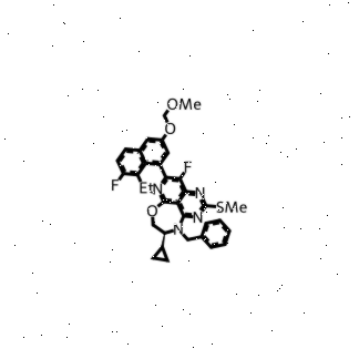 CCc1c(F)ccc2cc(OCOC)cc(-c3nc4c5c(nc(SC)nc5c3F)N(Cc3ccccc3)[C@@H](C3CC3)CO4)c12